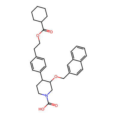 O=C(OCCc1ccc(C2CCN(C(=O)O)CC2OCc2ccc3ccccc3c2)cc1)C1CCCCC1